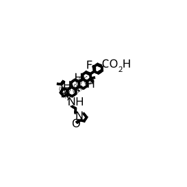 C=C(C)[C@@H]1CC[C@]2(CNCCCN3CCCC3=O)CC[C@]3(C)[C@H](CC[C@@H]4[C@@]5(C)CC=C(c6ccc(C(=O)O)cc6F)C(C)(C)[C@@H]5CC[C@]43C)[C@@H]12